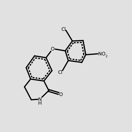 O=C1NCCc2ccc(Oc3c(Cl)cc([N+](=O)[O-])cc3Cl)cc21